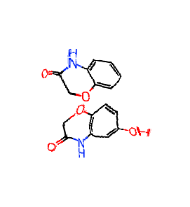 O=C1COc2ccc(O)cc2N1.O=C1COc2ccccc2N1